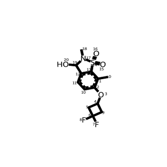 Cc1c(OC2CC(F)(F)C2)ccc2c1S(=O)(=O)N(C)C2O